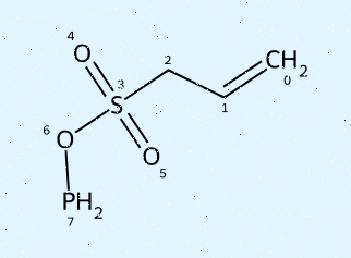 C=CCS(=O)(=O)OP